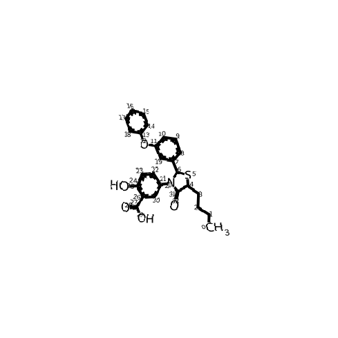 CCCCC1SC(c2cccc(Oc3ccccc3)c2)N(c2ccc(O)c(C(=O)O)c2)C1=O